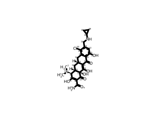 CN(C)[C@@H]1C(O)=C(C(N)=O)C(=O)[C@@]2(O)C(O)=C3C(=O)c4c(O)cc(CNC5CC5)c(Cl)c4C[C@H]3C[C@@H]12